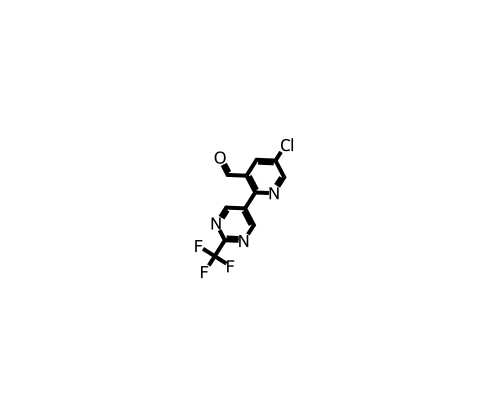 O=Cc1cc(Cl)cnc1-c1cnc(C(F)(F)F)nc1